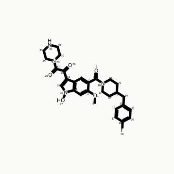 COc1cc2c(cc1C(=O)N1CCC(Cc3ccc(F)cc3)CC1)c(C(=O)C(=O)N1CCNCC1)cn2O